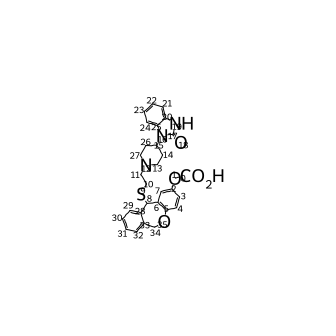 O=C(O)Oc1ccc2c(c1)C(SCCN1CCC(n3c(=O)[nH]c4ccccc43)CC1)c1ccccc1CO2